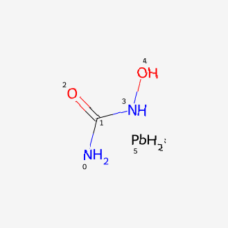 NC(=O)NO.[PbH2]